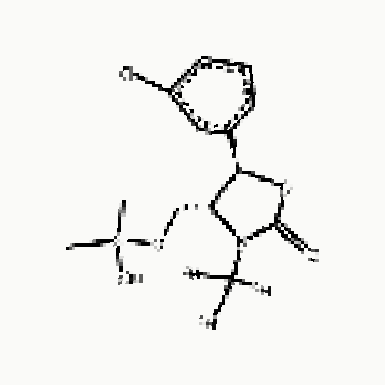 [2H]C([2H])([2H])N1C(=O)O[C@H](c2cccc(Cl)c2)[C@H]1CO[Si](C)(C)C(C)(C)C